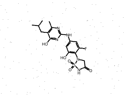 Cc1nc(Nc2cc(O)c(N3CC(=O)NS3(=O)=O)c(F)c2)nc(O)c1CC(C)C